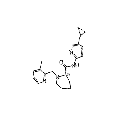 Cc1cccnc1CN1CCCC[C@@H]1C(=O)Nc1ccc(C2CC2)cn1